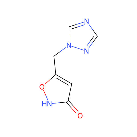 O=c1cc(Cn2cncn2)o[nH]1